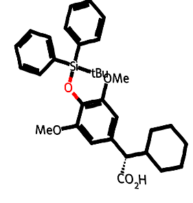 COc1cc([C@@H](C(=O)O)C2CCCCC2)cc(OC)c1O[Si](c1ccccc1)(c1ccccc1)C(C)(C)C